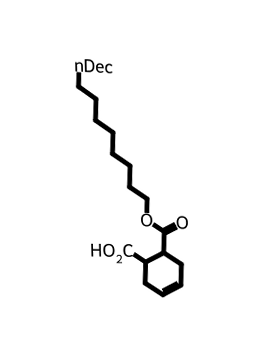 CCCCCCCCCCCCCCCCCCOC(=O)C1CC=CCC1C(=O)O